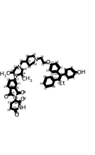 CCC(=C(c1ccc(O)cc1)c1ccc(OCCN2CCC(CN3CC(C)N(c4ccc5c(c4)C(=O)N(C4CCC(=O)NC4=O)C5=O)C(C)C3)CC2)cc1)c1ccccc1